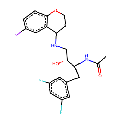 CC(=O)NC(Cc1cc(F)cc(F)c1)[C@H](O)CNC1CCOc2ccc(I)cc21